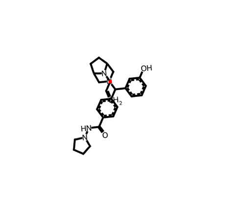 C=CCN1C2CCC1CN(C(c1ccc(C(=O)NN3CCCC3)cc1)c1cccc(O)c1)C2